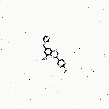 COc1ncc(C2COc3cc(Cn4ccnc4)cc(OC)c3O2)cn1